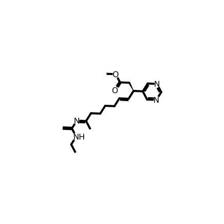 C=C(/N=C(\C)CCCC/C=C/[C@@H](CC(=O)OC)c1cncnc1)NCC